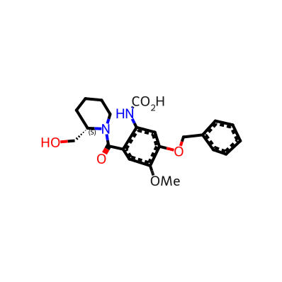 COc1cc(C(=O)N2CCCC[C@H]2CO)c(NC(=O)O)cc1OCc1ccccc1